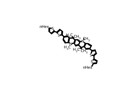 CCCCCCc1ccc(-c2ccc(-c3ccc4c(c3)C(C)(C)c3cc5c(cc3N4C)C(C)(C)c3cc(-c4ccc(-c6ccc(CCCCCC)s6)s4)ccc3N5C)s2)s1